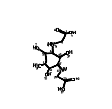 CC1C(O)C(NCC(=O)O)C(O)C(NCC(=O)O)C1O